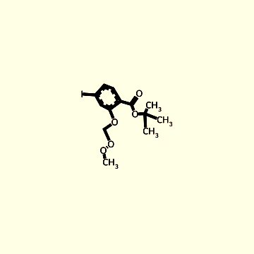 COOCOc1cc(I)ccc1C(=O)OC(C)(C)C